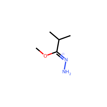 CO/C(=N\N)C(C)C